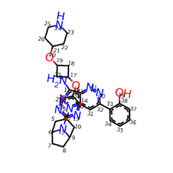 Nc1nn(C2CC3CCC(C2)N3c2ncc(OC3CC(OC4CCNCC4)C3)cn2)c2cc(-c3ccccc3O)nnc12